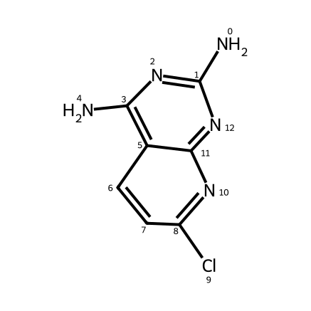 Nc1nc(N)c2ccc(Cl)nc2n1